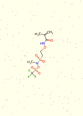 C=C(C)C(=O)NOCCS(=O)(=O)N(C)OS(=O)(=O)C(F)(F)F